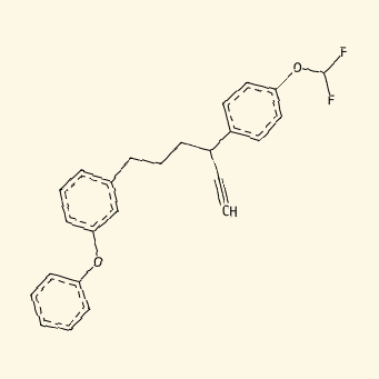 C#CC(CCCc1cccc(Oc2ccccc2)c1)c1ccc(OC(F)F)cc1